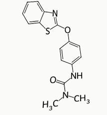 CN(C)C(=O)Nc1ccc(Oc2nc3ccccc3s2)cc1